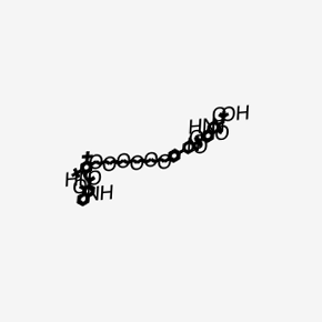 CC(C)(C)c1cc(C(C)(C)C)c(OCCOCCOCCOCCOCCOc2ccc(C3CCN(S(=O)(=O)c4ccc5c(c4)NCN(CC(=O)O)C5=O)CC3)cc2)cc1NC(=O)c1c[nH]c2ccccc2c1=O